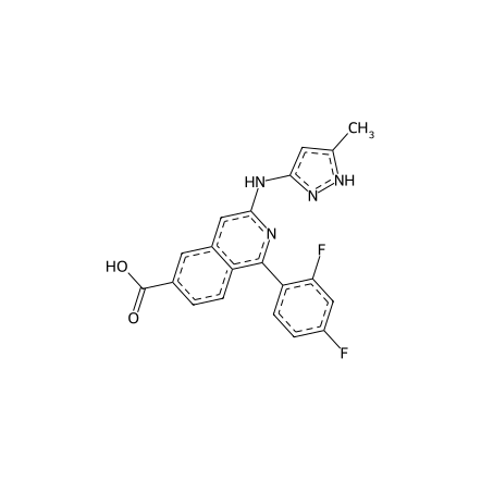 Cc1cc(Nc2cc3cc(C(=O)O)ccc3c(-c3ccc(F)cc3F)n2)n[nH]1